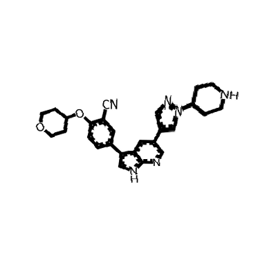 N#Cc1cc(-c2c[nH]c3ncc(-c4cnn(C5CCNCC5)c4)cc23)ccc1OC1CCOCC1